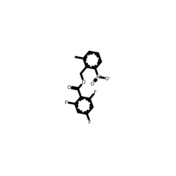 Cc1cccc([N+](=O)[O-])c1COC(=O)c1c(F)cc(F)cc1F